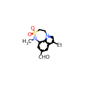 CCc1cn2c3c(cc(C=O)cc13)N(C)S(=O)(=O)CC2